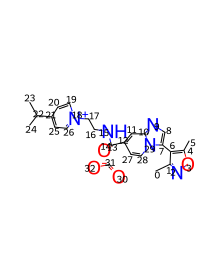 Cc1noc(C)c1-c1cnc2cc(C(=O)NCC[n+]3ccc(C(C)C)cc3)ccn12.O=C[O-]